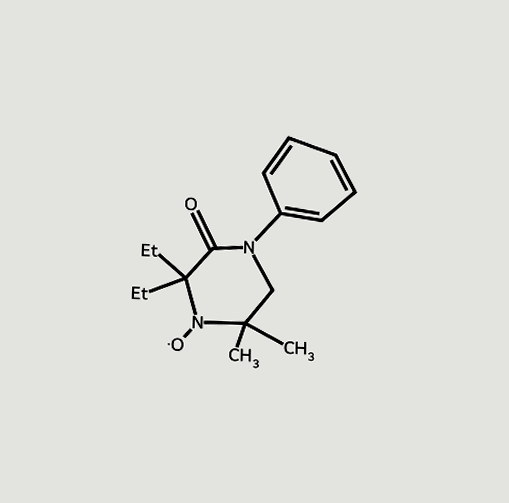 CCC1(CC)C(=O)N(c2ccccc2)CC(C)(C)N1[O]